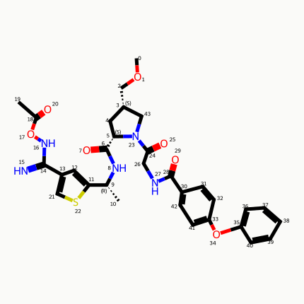 COC[C@H]1C[C@@H](C(=O)N[C@H](C)c2cc(C(=N)NOC(C)=O)cs2)N(C(=O)CNC(=O)c2ccc(Oc3ccccc3)cc2)C1